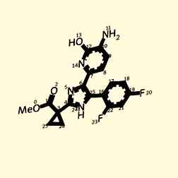 COC(=O)C1(c2nc(-c3ccc(N)c(O)n3)c(-c3ccc(F)cc3F)[nH]2)CC1